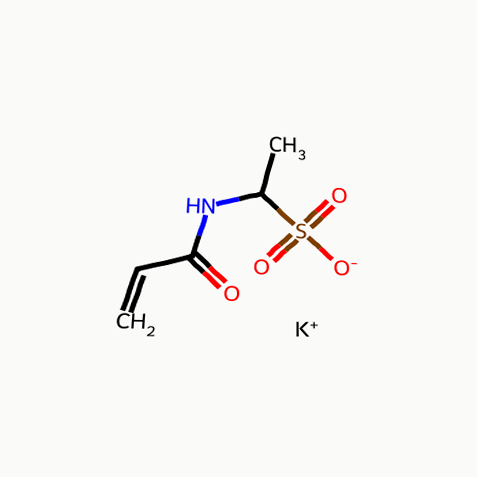 C=CC(=O)NC(C)S(=O)(=O)[O-].[K+]